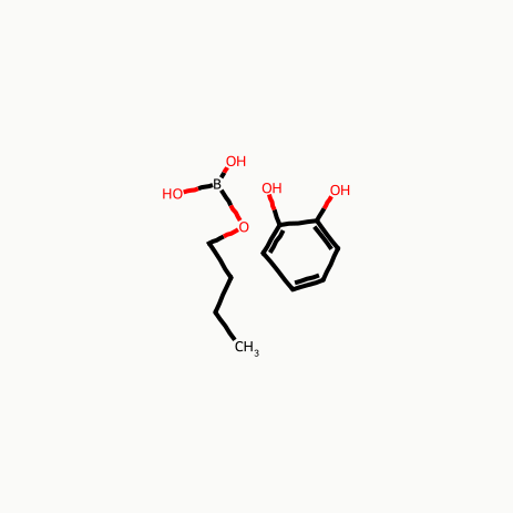 CCCCOB(O)O.Oc1ccccc1O